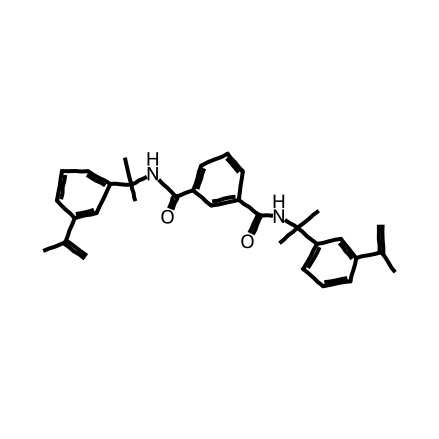 C=C(C)c1cccc(C(C)(C)NC(=O)c2cccc(C(=O)NC(C)(C)c3cccc(C(=C)C)c3)c2)c1